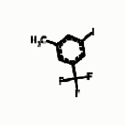 Cc1cc(I)cc(C(F)(F)F)c1